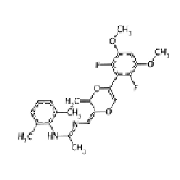 C=C1OC(c2c(F)c(OC)cc(OC)c2F)=CO/C1=C/N=C(\C)Nc1c(C)cccc1C